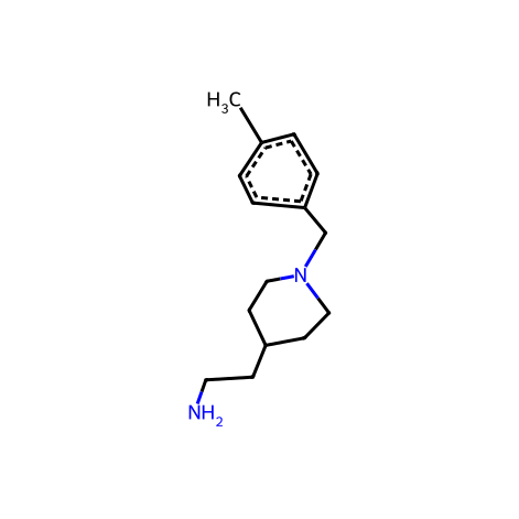 Cc1ccc(CN2CCC(CCN)CC2)cc1